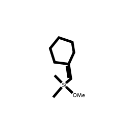 CO[Si](C)(C)C=C1CCCCC1